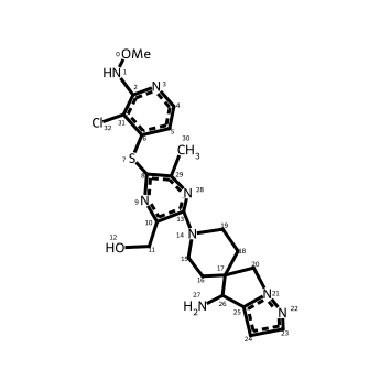 CONc1nccc(Sc2nc(CO)c(N3CCC4(CC3)Cn3nccc3C4N)nc2C)c1Cl